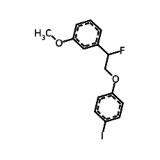 COc1cccc(C(F)COc2ccc(I)cc2)c1